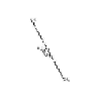 CCCCCCCCCCCCCCCCCCOC(=O)CCCCCCCCCCCCCCCCC.CCOCC